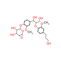 COc1cc(CCCO)ccc1OC(CO)C(O)c1ccc(OC2OC3OC3C(O)C2O)c(OC)c1